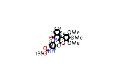 COC(=O)c1c(-c2cc(OC)c(OC)c(OC)c2)c2ccccc2c(=O)n1[C@H]1CC[C@@H](NC(=O)OC(C)(C)C)CC1